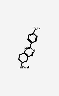 CCCCCC1CCc2nc(-c3ccc(OC(C)=O)cc3)ncc2C1